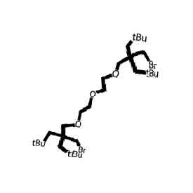 CC(C)(C)CC(CBr)(COCCOCCOCC(CBr)(CC(C)(C)C)CC(C)(C)C)CC(C)(C)C